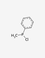 CP(Cl)c1ccccc1